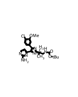 COc1cc(-c2nc(C(C)(C)CNC(=O)OC(C)(C)C)[nH]c2-c2ccnc(N)n2)ccc1Cl